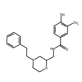 Cc1cc(C(=O)NCC2CN(CCc3ccccc3)CCO2)ccc1O